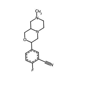 CN1CCN2CC(c3ccc(F)c(C#N)c3)OCC2C1